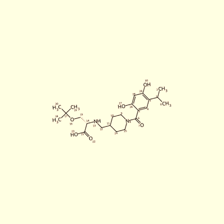 CC(C)c1cc(C(=O)N2CCC(CN[C@@H](COC(C)(C)C)C(=O)O)CC2)c(O)cc1O